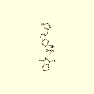 O=C1c2ccccc2C(=O)N1CCS(=O)(=O)Nc1ccc2c(c1)N(Cc1c[nH]cn1)CC2